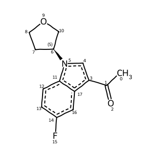 CC(=O)c1cn([C@H]2CCOC2)c2ccc(F)cc12